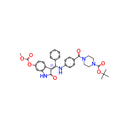 COC(=O)Oc1ccc2c(c1)NC(=O)/C2=C(\Nc1ccc(C(=O)N2CCN(C(=O)OC(C)(C)C)CC2)cc1)c1ccccc1